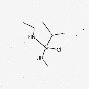 CCN[Si](Cl)(NC)C(C)C